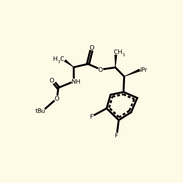 CC(C)[C@@H](c1ccc(F)c(F)c1)[C@H](C)OC(=O)[C@H](C)NC(=O)OC(C)(C)C